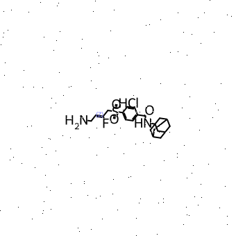 Cl.NC/C=C(\F)CS(=O)(=O)c1ccc(C(=O)NC23CC4CC(CC(C4)C2)C3)cc1